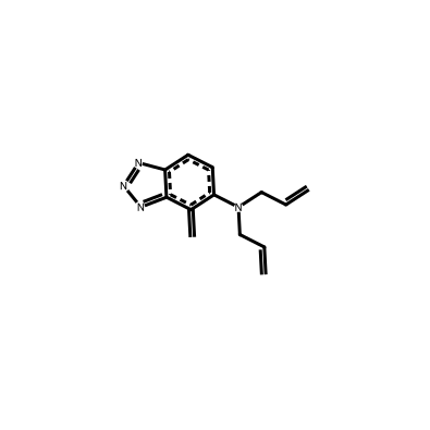 C=CCN(CC=C)c1ccc2c(c1=C)=NN=N2